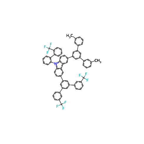 Cc1cccc(-c2cc(-c3cccc(C)c3)cc(-c3ccc4c(c3)c3cc(-c5cc(-c6cccc(C(F)(F)F)c6)cc(-c6cccc(C(F)(F)F)c6)c5)ccc3n4-c3ccccc3-c3ccccc3C(F)(F)F)c2)c1